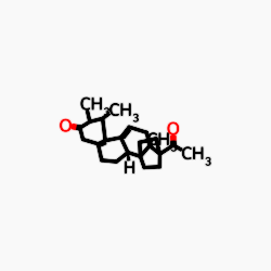 CC(=O)C12CCC3(CC1)[C@@H]1CCC4=C(C1=CC[C@]23C)C(C)C(C)C(=O)C4